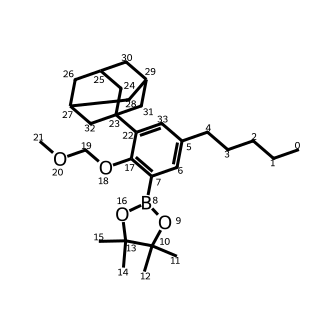 CCCCCc1cc(B2OC(C)(C)C(C)(C)O2)c(OCOC)c(C23CC4CC(CC(C4)C2)C3)c1